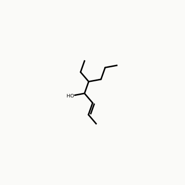 CC=CC(O)C(CC)CCC